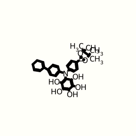 CC1(C)OB(c2ccc(N(c3ccc(C4=CCCC=C4)cc3)c3c(O)c(O)c(O)c(O)c3O)cc2)OC1(C)C